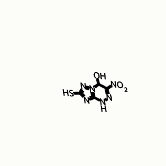 O=[N+]([O-])C1=NNc2nc(S)nn2C1O